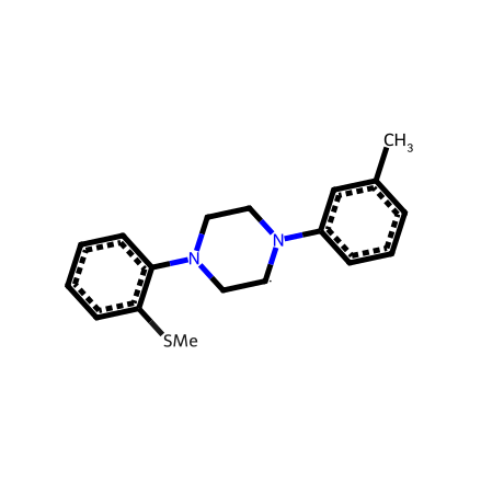 CSc1ccccc1N1C[CH]N(c2cccc(C)c2)CC1